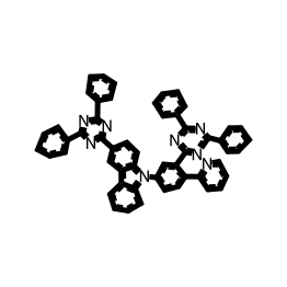 c1ccc(-c2nc(-c3ccccc3)nc(-c3ccc4c(c3)c3ccccc3n4-c3ccc(-c4ccccn4)c(-c4nc(-c5ccccc5)nc(-c5ccccc5)n4)c3)n2)cc1